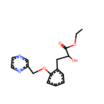 CCOC(=O)C(O)Cc1ccccc1OCc1cnccn1